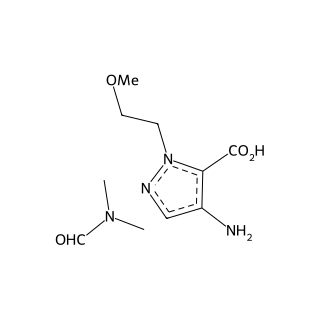 CN(C)C=O.COCCn1ncc(N)c1C(=O)O